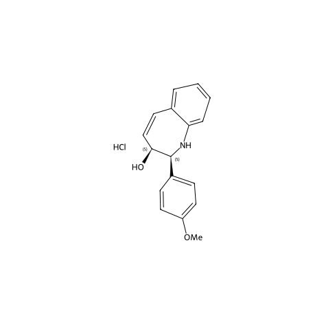 COc1ccc([C@@H]2Nc3ccccc3C=C[C@@H]2O)cc1.Cl